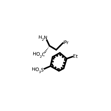 CC(C)C[C@@H](N)C(=O)O.CCc1ccc(S(=O)(=O)O)cc1